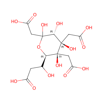 O=C(O)CC(O)[C@H]1OC(O)(CC(=O)O)[C@H](O)[C@](O)(CC(=O)O)[C@]1(O)CC(=O)O